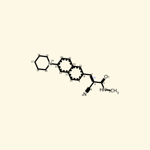 CNC(=O)/C(C#N)=C/c1ccc2cc(N3CCCCC3)ccc2c1